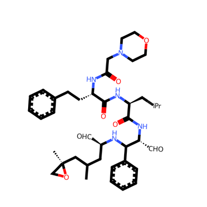 CC(C)C[C@H](NC(=O)[C@H](CCc1ccccc1)NC(=O)CN1CCOCC1)C(=O)N[C@H](C=O)C(N[C@H](C=O)CC(C)C[C@]1(C)CO1)c1ccccc1